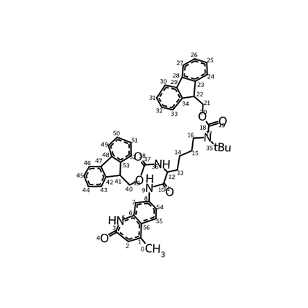 Cc1cc(=O)[nH]c2cc(NC(=O)C(CCCCN(C(=O)OCC3c4ccccc4-c4ccccc43)C(C)(C)C)NC(=O)OCC3c4ccccc4-c4ccccc43)ccc12